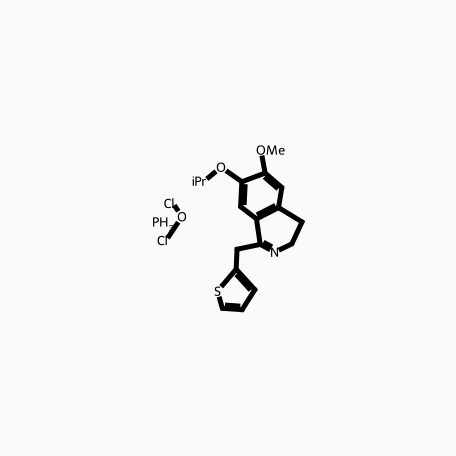 COc1cc2c(cc1OC(C)C)C(Cc1cccs1)=NCC2.ClOCl.P